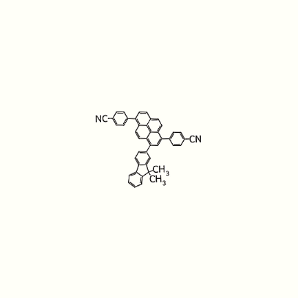 CC1(C)c2ccccc2-c2ccc(-c3cc(-c4ccc(C#N)cc4)c4ccc5ccc(-c6ccc(C#N)cc6)c6ccc3c4c56)cc21